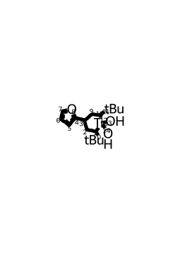 CC(C)(C)[CH]1CC(c2ccco2)C[CH](C(C)(C)C)[Ti]1([OH])[OH]